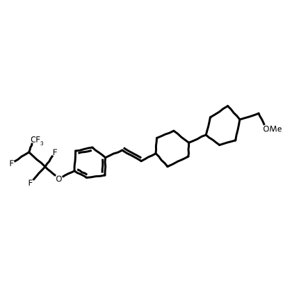 COCC1CCC(C2CCC(C=Cc3ccc(OC(F)(F)C(F)C(F)(F)F)cc3)CC2)CC1